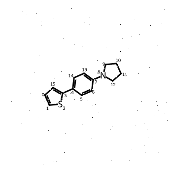 c1csc(-c2ccc(N3CCCC3)cc2)c1